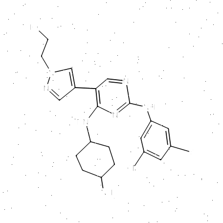 NC1CCC(Nc2nc(Nc3cc(Cl)cc(Cl)c3)ncc2-c2cnn(CCO)c2)CC1